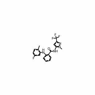 Cc1ccc(F)cc1Nc1ccccc1C(=O)Nc1cc(C(F)(F)F)nn1C